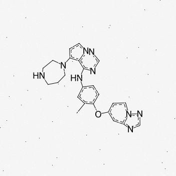 Cc1cc(Nc2ncnn3ccc(N4CCCNCC4)c23)ccc1Oc1ccn2ncnc2c1